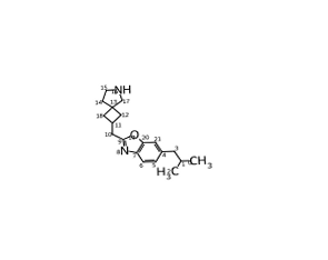 CC(C)Cc1ccc2nc(CC3CC4(CCNC4)C3)oc2c1